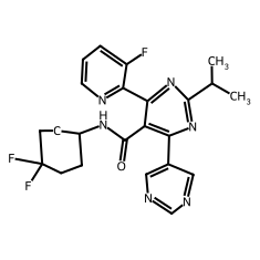 CC(C)c1nc(-c2cncnc2)c(C(=O)NC2CCC(F)(F)CC2)c(-c2ncccc2F)n1